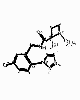 CC(C)(C)[C@]1(C(=O)NCc2cc(Cl)ccc2-n2cnnn2)CCN1C(=O)O